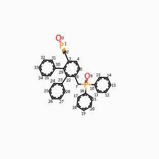 O=P#Cc1ccc(CP(=O)(c2ccccc2)c2ccccc2)c(-c2ccccc2)c1-c1ccccc1